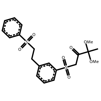 COC(C)(OC)C(=O)CS(=O)(=O)c1cccc(CCS(=O)(=O)c2ccccc2)c1